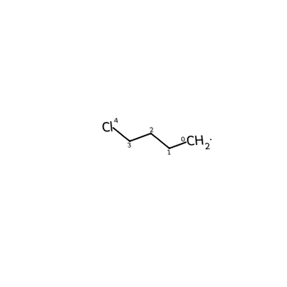 [CH2]CCCCl